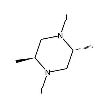 C[C@@H]1CN(I)[C@@H](C)CN1I